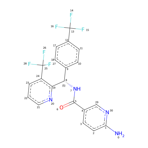 Nc1ccc(C(=O)N[C@@H](c2ccc(C(F)(F)F)cc2)c2ncccc2C(F)(F)F)cn1